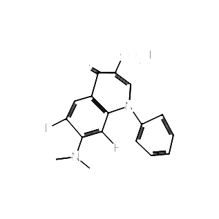 CN(C)c1c(F)cc2c(=O)c(C(=O)O)cn(-c3ccccc3)c2c1F